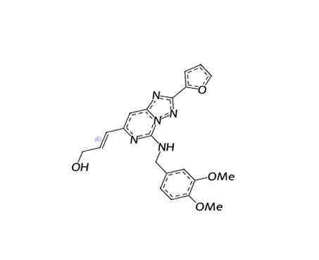 COc1ccc(CNc2nc(/C=C/CO)cc3nc(-c4ccco4)nn23)cc1OC